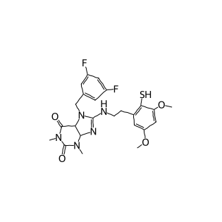 COc1cc(CCNC2=NC3C(C(=O)N(C)C(=O)N3C)N2Cc2cc(F)cc(F)c2)c(S)c(OC)c1